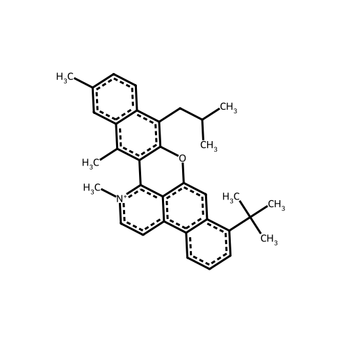 Cc1ccc2c(CC(C)C)c3c(c(C)c2c1)-c1c2c(cc4c(C(C)(C)C)cccc4c2cc[n+]1C)O3